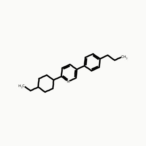 CCCc1ccc(-c2ccc(C3CCC(CC)CC3)nc2)cc1